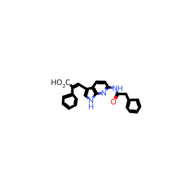 O=C(Cc1ccccc1)Nc1ccc2c(C=C(C(=O)O)c3ccccc3)c[nH]c2n1